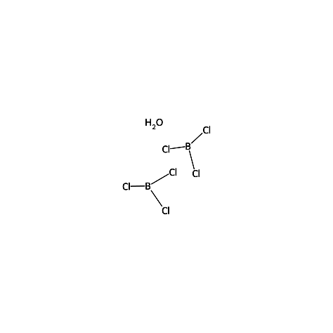 ClB(Cl)Cl.ClB(Cl)Cl.O